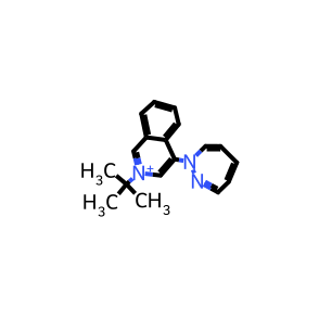 CC(C)(C)[n+]1cc(N2C=CC=CC=N2)c2ccccc2c1